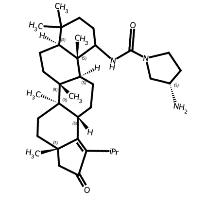 CC(C)C1=C2[C@H]3CC[C@@H]4[C@@]5(C)C(NC(=O)N6CC[C@H](N)C6)CCC(C)(C)[C@@H]5CC[C@@]4(C)[C@]3(C)CC[C@@]2(C)CC1=O